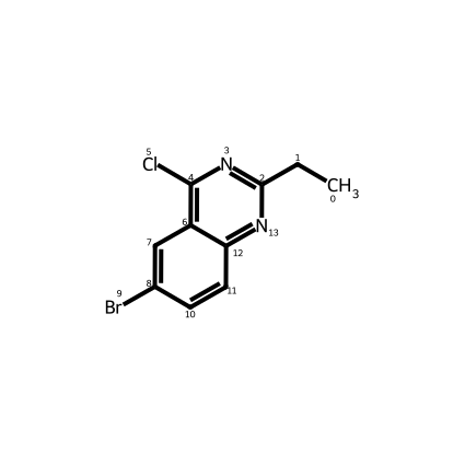 CCc1nc(Cl)c2cc(Br)ccc2n1